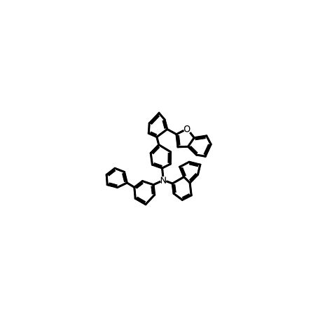 c1ccc(-c2cccc(N(c3ccc(-c4ccccc4-c4cc5ccccc5o4)cc3)c3cccc4ccccc34)c2)cc1